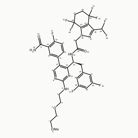 COCCOCCNc1ncc(-c2ccc(F)c(C(N)=O)c2)c([C@H](Cc2cc(F)cc(F)c2)NC(=O)Cn2nc(C(F)F)c3c2C(F)(F)CCC3(F)F)n1